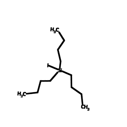 CCCC[Si](I)(CCCC)CCCC